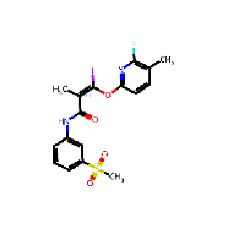 C/C(C(=O)Nc1cccc(S(C)(=O)=O)c1)=C(\I)Oc1ccc(C)c(F)n1